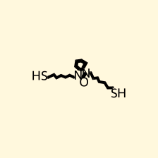 O=c1n(CCCCCCCS)c2ccccc2n1CCCCCCCS